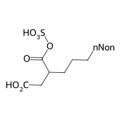 CCCCCCCCCCCCC(CC(=O)O)C(=O)OS(=O)(=O)O